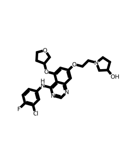 OC1CCN(CCOc2cc(OC3CCOC3)c3c(Nc4ccc(F)c(Cl)c4)ncnc3c2)C1